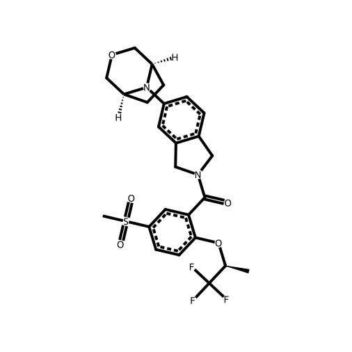 C[C@H](Oc1ccc(S(C)(=O)=O)cc1C(=O)N1Cc2ccc(N3[C@@H]4CC[C@H]3COC4)cc2C1)C(F)(F)F